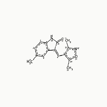 Cc1ccc2c(c1)/C(=C/c1c(C)noc1C)C(=O)N2